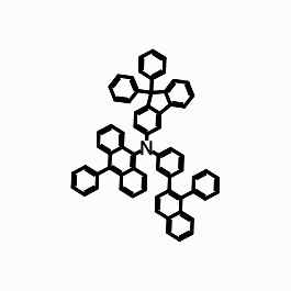 c1ccc(-c2c(-c3cccc(N(c4ccc5c(c4)-c4ccccc4C5(c4ccccc4)c4ccccc4)c4c5ccccc5c(-c5ccccc5)c5ccccc45)c3)ccc3ccccc23)cc1